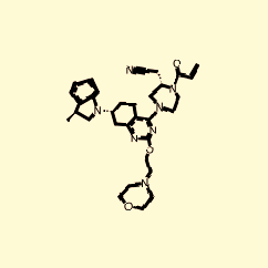 C=CC(=O)N1CCN(c2nc(OCCN3CCOCC3)nc3c2CC[C@@H](N2C[C@@H](C)c4ccccc42)C3)C[C@@H]1CC#N